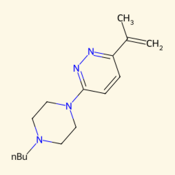 C=C(C)c1ccc(N2CCN(CCCC)CC2)nn1